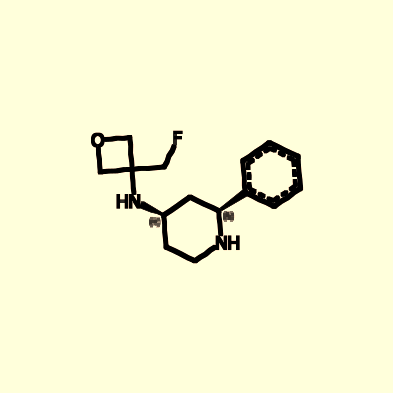 FCC1(N[C@@H]2CCN[C@H](c3ccccc3)C2)COC1